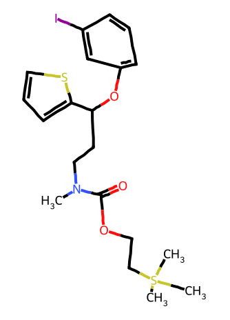 CN(CCC(Oc1cccc(I)c1)c1cccs1)C(=O)OCCS(C)(C)C